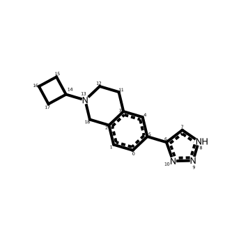 c1cc2c(cc1-c1c[nH]nn1)CCN(C1CCC1)C2